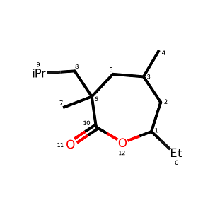 CCC1CC(C)CC(C)(CC(C)C)C(=O)O1